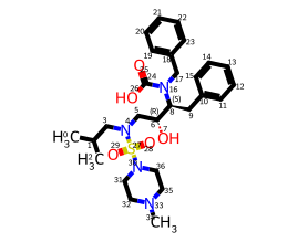 CC(C)CN(C[C@@H](O)[C@H](Cc1ccccc1)N(Cc1ccccc1)C(=O)O)S(=O)(=O)N1CCN(C)CC1